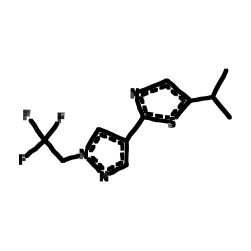 CC(C)c1cnc(-c2cnn(CC(F)(F)F)c2)s1